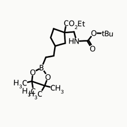 CCOC(=O)C1(CNC(=O)OC(C)(C)C)CCC(CCB2OC(C)(C)C(C)(C)O2)C1